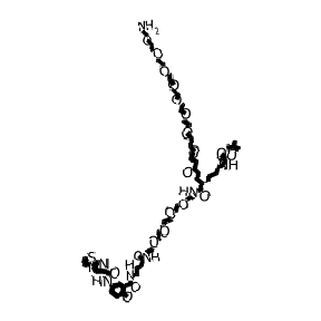 COc1ccc(NC(=O)c2cn3ccsc3n2)cc1C(=O)NCCCC(=O)NCCOCCOCCOCCOCCNC(=O)[C@@H](CCCCNC(=O)OC(C)(C)C)CCC(=O)CCOCCOCCOCCOCCOCCOCCOCCOCCN